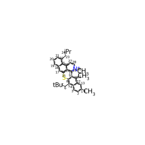 Cc1ccc2c(CC(C)(C)C)c3c(c(C)c2c1)-c1c2c(cc4cccc(CC(C)C)c4c2cc[n+]1C)S3